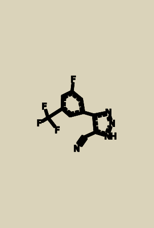 N#Cc1[nH]nnc1-c1cc(F)cc(C(F)(F)F)c1